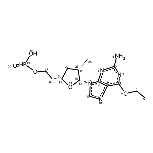 CCOc1nc(N)nc2c1ncn2[C@@H]1O[C@H](CCO[PH](=O)O)C[C@@H]1C